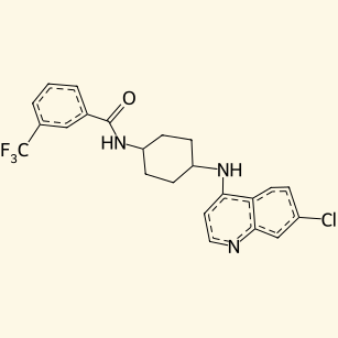 O=C(NC1CCC(Nc2ccnc3cc(Cl)ccc23)CC1)c1cccc(C(F)(F)F)c1